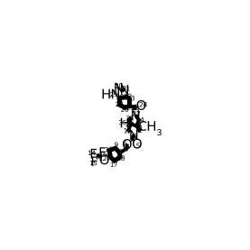 C[C@@]12CN(C(=O)OCc3ccc(OC(F)(F)F)cc3)C[C@H]1CN(C(=O)c1ccc3[nH]nnc3c1)C2